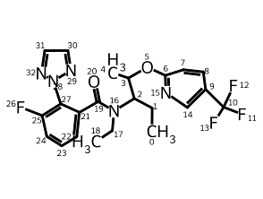 CCC(C(C)Oc1ccc(C(F)(F)F)cn1)N(CC)C(=O)c1cccc(F)c1-n1nccn1